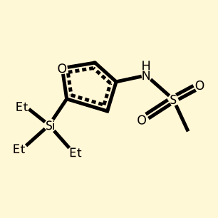 CC[Si](CC)(CC)c1cc(NS(C)(=O)=O)co1